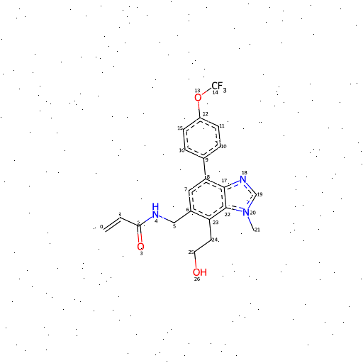 C=CC(=O)NCc1cc(-c2ccc(OC(F)(F)F)cc2)c2ncn(C)c2c1CCO